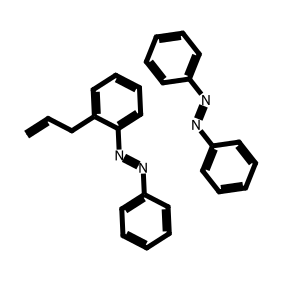 C=CCc1ccccc1N=Nc1ccccc1.c1ccc(N=Nc2ccccc2)cc1